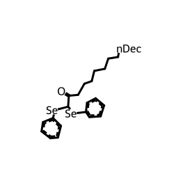 CCCCCCCCCCCCCCCCCC(=O)C([Se]c1ccccc1)[Se]c1ccccc1